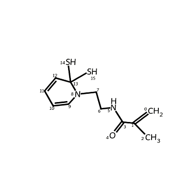 C=C(C)C(=O)NCCN1C=CC=CC1(S)S